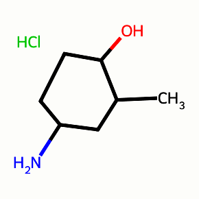 CC1CC(N)CCC1O.Cl